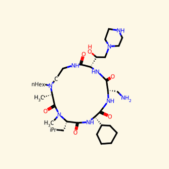 CCCCCCN1CCNC(=O)[C@H](C(O)CN2CCNCC2)NC(=O)[C@H](CN)NC(=O)[C@H](C2CCCCC2)NC(=O)[C@H](CC(C)C)N(C)C(=O)[C@@H]1C